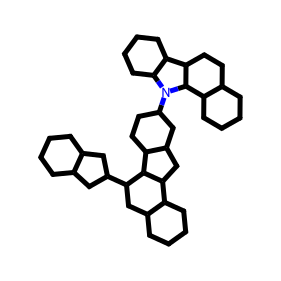 C1CCC2CC(C3CC4CCCCC4C4CC5CC(N6C7CCCCC7C7CCC8CCCCC8C76)CCC5C34)CC2C1